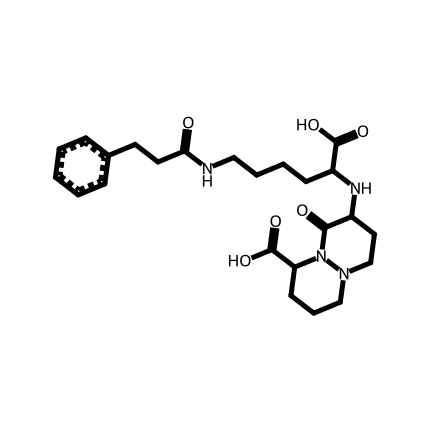 O=C(CCc1ccccc1)NCCCCC(NC1CCN2CCCC(C(=O)O)N2C1=O)C(=O)O